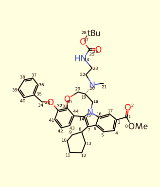 COC(=O)c1ccc2c(C3CCCCC3)c3n(c2c1)C[C@@H](N(C)CCNC(=O)OC(C)(C)C)COc1c(OCc2ccccc2)cccc1-3